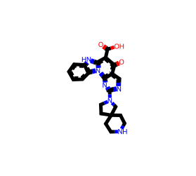 O=C(O)c1c(=O)c2cnc(N3CCC4(CCNCC4)C3)nc2n2c1[nH]c1ccccc12